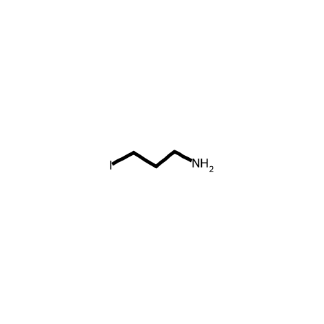 NCCCI